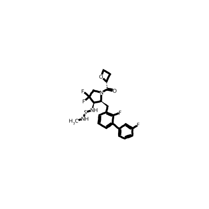 CNSN[C@@H]1[C@H](Cc2cccc(-c3cccc(F)c3)c2F)N(C(=O)[C@H]2CCO2)CC1(F)F